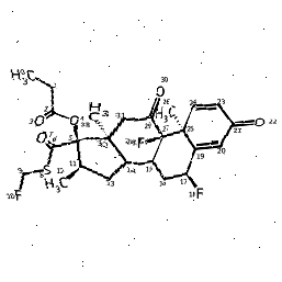 CCC(=O)O[C@]1(C(=O)SCF)[C@H](C)CC2C3C[C@H](F)C4=CC(=O)C=C[C@]4(C)[C@@]3(F)C(=O)C[C@@]21C